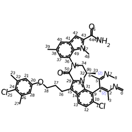 C=N/C(C)=C(\C(C)=N/C)c1c(Cl)ccc2c(CCCOc3cc(C)c(Cl)c(C)c3)c3n(c12)[C@H](C)CN(c1cc(C)cc2cc(C(N)=O)n(C)c12)C3=O